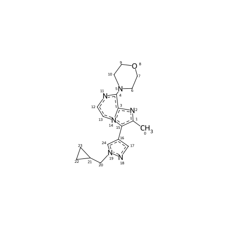 Cc1nc2c(N3CCOCC3)nccn2c1-c1cnn(CC2CC2)c1